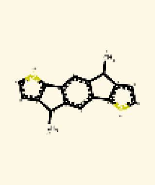 CC1c2cc3c(cc2-c2sccc21)C(C)c1ccsc1-3